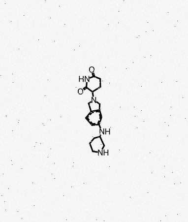 O=C1CCC(N2Cc3ccc(N[C@@H]4CCCNC4)cc3C2)C(=O)N1